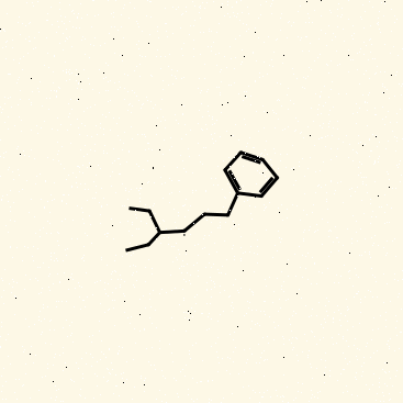 CCC([CH]CCc1ccccc1)CC